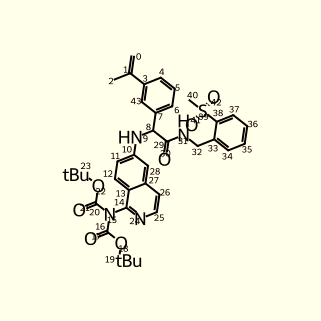 C=C(C)c1cccc(C(Nc2ccc3c(N(C(=O)OC(C)(C)C)C(=O)OC(C)(C)C)nccc3c2)C(=O)NCc2ccccc2S(C)(=O)=O)c1